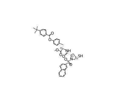 COC(=O)[C@H](Cc1ccc(OC(=O)c2ccc(C(C)(C)C)cc2)cc1)NC(=O)[C@@H]1C[C@H](S)CN1S(=O)(=O)c1ccc2ccccc2c1